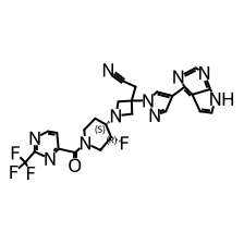 N#CCC1(n2cc(-c3ncnc4[nH]ccc34)cn2)CN([C@H]2CCN(C(=O)c3ccnc(C(F)(F)F)n3)C[C@H]2F)C1